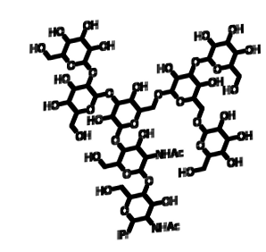 CC(=O)NC1C(OC2C(CO)OC(C(C)C)C(NC(C)=O)C2O)OC(CO)C(OC2OC(COC3OC(COC4OC(CO)C(O)C(O)C4O)C(O)C(OC4OC(CO)C(O)C(O)C4O)C3O)C(O)C(OC3OC(CO)C(O)C(O)C3OC3OC(CO)C(O)C(O)C3O)C2O)C1O